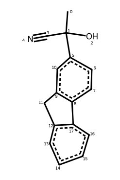 CC(O)(C#N)c1ccc2c(c1)Cc1ccccc1-2